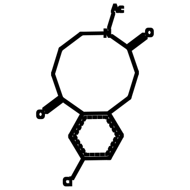 CC(=O)N1CCCC(=O)c2cc(Cl)ccc2CCC1=O